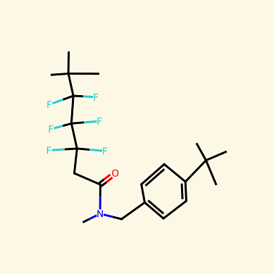 CN(Cc1ccc(C(C)(C)C)cc1)C(=O)CC(F)(F)C(F)(F)C(F)(F)C(C)(C)C